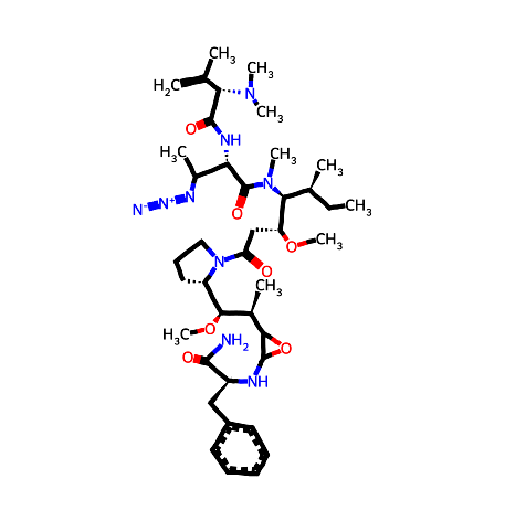 C=C(C)[C@@H](C(=O)N[C@H](C(=O)N(C)[C@@H]([C@@H](C)CC)[C@@H](CC(=O)N1CCC[C@H]1[C@H](OC)[C@@H](C)C1OC1N[C@@H](Cc1ccccc1)C(N)=O)OC)C(C)N=[N+]=[N-])N(C)C